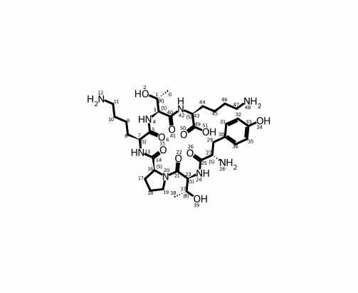 C[C@@H](O)[C@H](NC(=O)[C@H](CCCCN)NC(=O)[C@@H]1CCCN1C(=O)[C@@H](NC(=O)[C@@H](N)Cc1ccc(O)cc1)[C@@H](C)O)C(=O)N[C@@H](CCCCN)C(=O)O